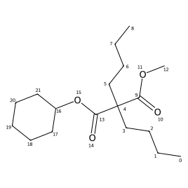 CCCCC(CCCC)(C(=O)OC)C(=O)OC1CCCCC1